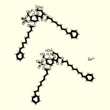 CCCCCCCCCCCCC(OC(=O)CCCCCCCCc1ccccc1)C(=O)C1(ON)C[C@H](OC(=O)CCCCCCCCc2ccccc2)[C@H](OS(=O)(=O)[O-])[C@@H](CO)O1.CCCCCCCCCCCCC(OC(=O)CCCCCCCCc1ccccc1)C(=O)C1(ON)C[C@H](OC(=O)CCCCCCCCc2ccccc2)[C@H](OS(=O)(=O)[O-])[C@@H](CO)O1.[Ca+2]